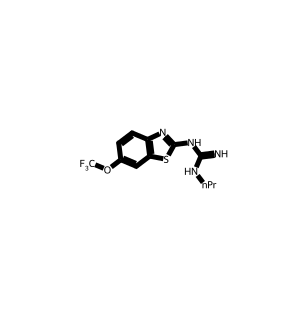 CCCNC(=N)Nc1nc2ccc(OC(F)(F)F)cc2s1